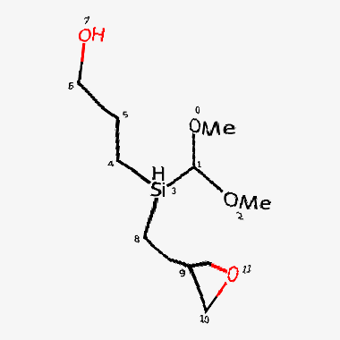 COC(OC)[SiH](CCCO)CC1CO1